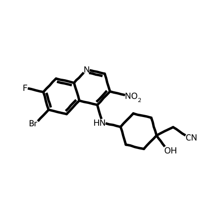 N#CCC1(O)CCC(Nc2c([N+](=O)[O-])cnc3cc(F)c(Br)cc23)CC1